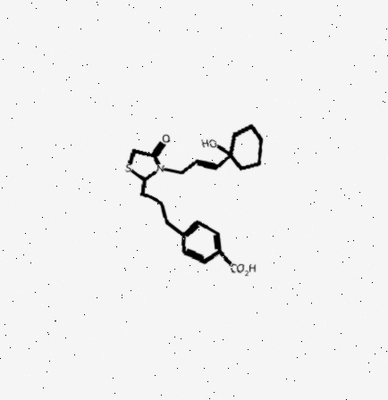 O=C(O)c1ccc(CCCC2SCC(=O)N2CC=CC2(O)CCCCC2)cc1